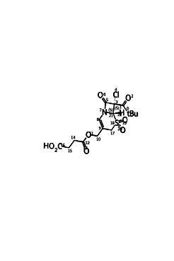 CC(C)(C)C(=O)[C@]1(Cl)C(=O)N2C=C(COC(=O)CCC(=O)O)CS(=O)(=O)[C@H]21